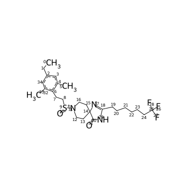 CCc1cc(C)c(CC[S+]([O-])N2CCC3(CC2)N=C(CCCCCCC(F)(F)F)NC3=O)c(C)c1